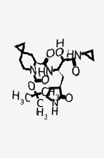 CC(C)(C)OC(=O)N1CCC2(CC2)C[C@H]1C(=O)N[C@@H](C[C@@H]1CCNC1=O)C(O)C(=O)NC1CC1